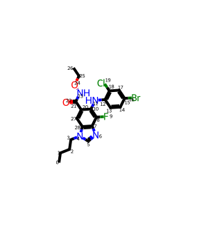 CCCCn1cnc2c(F)c(Nc3ccc(Br)cc3Cl)c(C(=O)NOCC)cc21